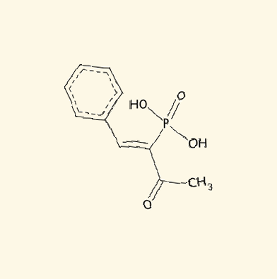 CC(=O)/C(=C/c1ccccc1)P(=O)(O)O